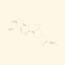 CCCC1NCCN(C(CC2CC2)C(=O)N2CCC(CC(N)=O)CC2)C1=O